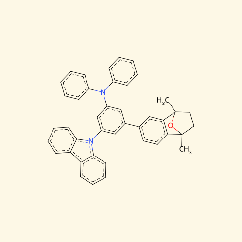 CC12CCC(C)(O1)c1cc(-c3cc(N(c4ccccc4)c4ccccc4)cc(-n4c5ccccc5c5ccccc54)c3)ccc12